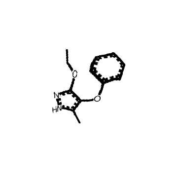 CCOc1n[nH]c(C)c1Oc1ccccc1